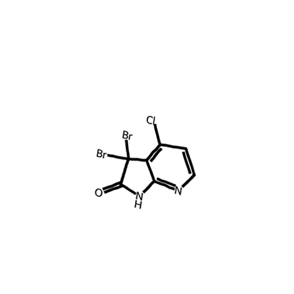 O=C1Nc2nccc(Cl)c2C1(Br)Br